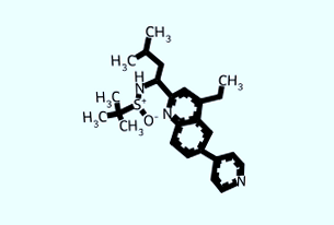 CCc1cc(C(CC(C)C)N[S+]([O-])C(C)(C)C)nc2ccc(-c3ccncc3)cc12